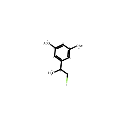 C[C](CF)c1cc(OC(C)=O)cc(OC(C)=O)c1